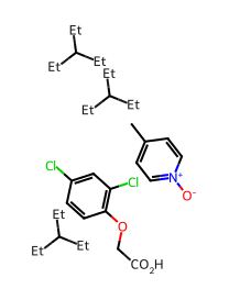 CCC(CC)CC.CCC(CC)CC.CCC(CC)CC.Cc1cc[n+]([O-])cc1.O=C(O)COc1ccc(Cl)cc1Cl